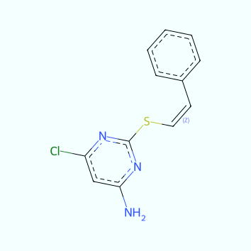 Nc1cc(Cl)nc(S/C=C\c2ccccc2)n1